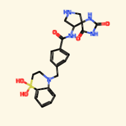 O=C1NC(=O)C2(CNCC2NC(=O)c2ccc(CN3CCS(O)(O)c4ccccc43)cc2)N1